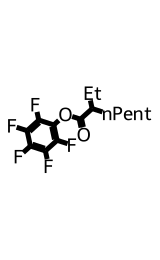 CCCCCC(CC)C(=O)Oc1c(F)c(F)c(F)c(F)c1F